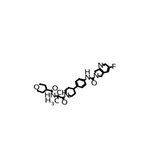 CC(C)(NC(=O)C1CCOCC1)C(=O)N1CCC(c2ccc(NC(=O)N3Cc4cc(F)cnc4C3)cc2)CC1